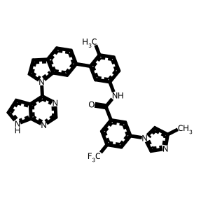 Cc1cn(-c2cc(C(=O)Nc3ccc(C)c(-c4ccc5ccn(-c6ncnc7[nH]ccc67)c5c4)c3)cc(C(F)(F)F)c2)cn1